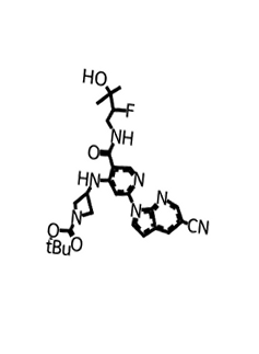 CC(C)(C)OC(=O)N1CC(Nc2cc(-n3ccc4cc(C#N)cnc43)ncc2C(=O)NCC(F)C(C)(C)O)C1